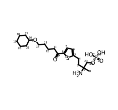 CC(N)(CCc1ccc(C(=O)CCCCOC2CCCCC2)s1)COP(=O)(O)O